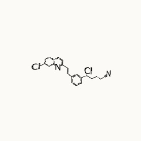 N#CCCCC(Cl)c1cccc(C=Cc2ccc3ccc(Cl)cc3n2)c1